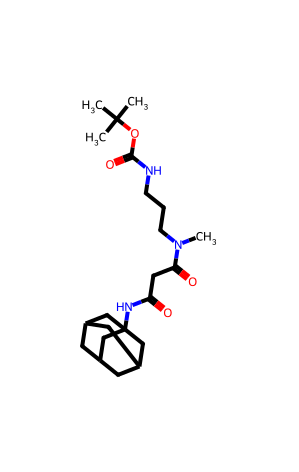 CN(CCCNC(=O)OC(C)(C)C)C(=O)CC(=O)NC12CC3CC(CC(C3)C1)C2